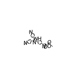 CCOC(=O)c1cc(-c2ccc(-c3nc(-c4ccc(N(C)C)cc4)c(-c4ccc(N(C)C)cc4)[nH]3)cc2)no1